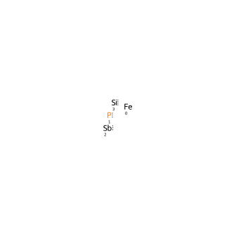 [Fe].[P].[Sb].[Si]